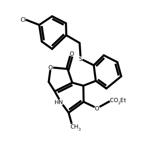 CCOC(=O)OC1=C(C)NC2=C(C(=O)OC2)C1c1ccccc1SCc1ccc(Cl)cc1